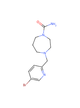 NC(=O)N1CCCN(Cc2ccc(Br)cn2)CC1